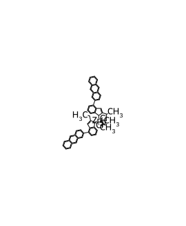 CCC1=Cc2c(-c3ccc4cc5ccccc5cc4c3)cccc2[CH]1[Zr]([Cl])([Cl])([CH]1C(CC)=Cc2c(-c3ccc4cc5ccccc5cc4c3)cccc21)=[Si](C)C